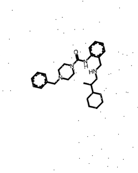 CC(CNCc1ccccc1NC(=O)N1CCN(Cc2ccccc2)CC1)C1CCCCC1